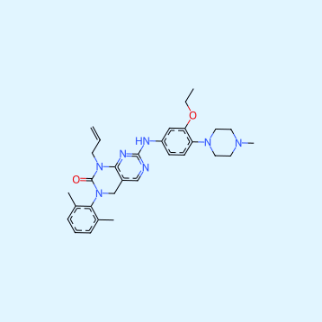 C=CCN1C(=O)N(c2c(C)cccc2C)Cc2cnc(Nc3ccc(N4CCN(C)CC4)c(OCC)c3)nc21